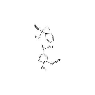 Cc1ccc(C(=O)Nc2cccc(C(C)(C)C#N)c2)cc1N=[N+]=[N-]